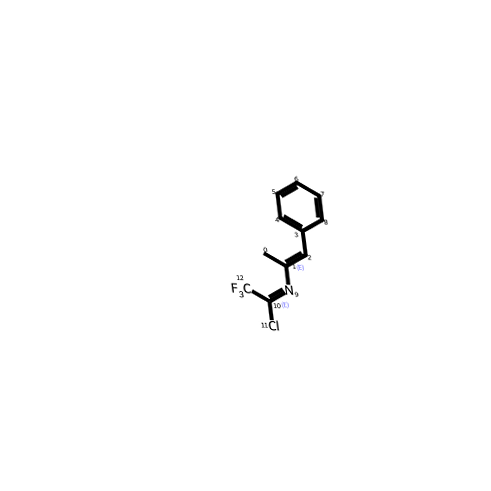 CC(=C\c1ccccc1)/N=C(/Cl)C(F)(F)F